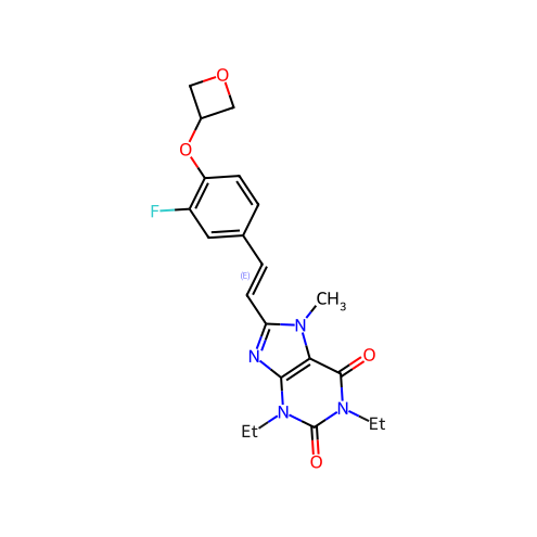 CCn1c(=O)c2c(nc(/C=C/c3ccc(OC4COC4)c(F)c3)n2C)n(CC)c1=O